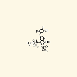 CN1Cc2c(c(O)c3ncc(Cc4cc(Cl)c(F)cc4F)cc3c2C#C[Si](C)(C)C)C1=O